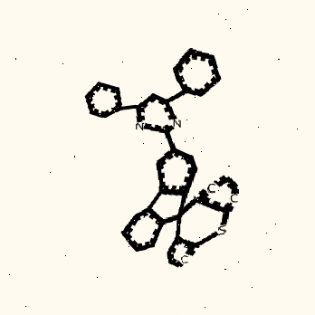 c1ccc(-c2cc(-c3ccccc3)nc(-c3ccc4c(c3)-c3ccccc3C43c4ccccc4Sc4ccccc43)n2)cc1